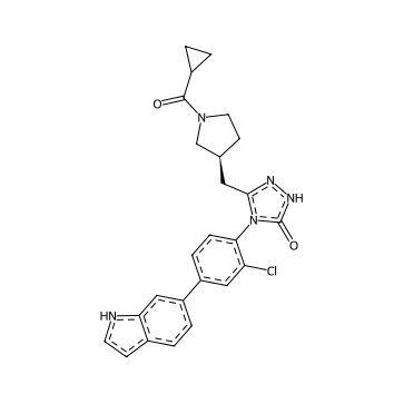 O=C(C1CC1)N1CC[C@@H](Cc2n[nH]c(=O)n2-c2ccc(-c3ccc4cc[nH]c4c3)cc2Cl)C1